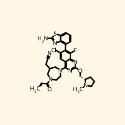 C=CC(=O)N1CCN(c2nc(OC[C@@H]3CCCN3C)nc3c(F)c(-c4cccc5sc(N)nc45)c(Cl)cc23)CC(CC#N)C1